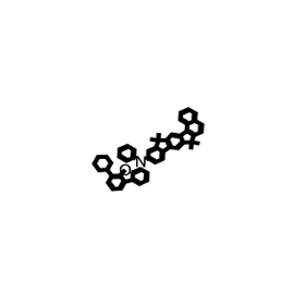 CC1(C)c2cc(N(c3ccccc3)c3cccc4c3oc3c(C5CCCCC5)cccc34)ccc2-c2cc3c(cc21)-c1c(ccc2ccccc12)C3(C)C